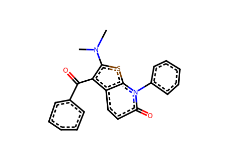 CN(C)c1sc2c(ccc(=O)n2-c2ccccc2)c1C(=O)c1ccccc1